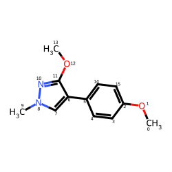 COc1ccc(-c2cn(C)nc2OC)cc1